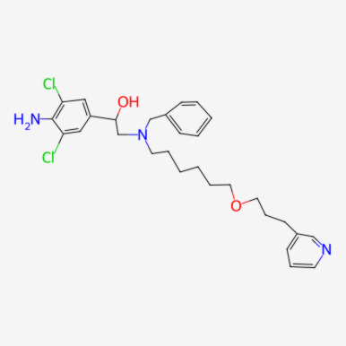 Nc1c(Cl)cc(C(O)CN(CCCCCCOCCCc2cccnc2)Cc2ccccc2)cc1Cl